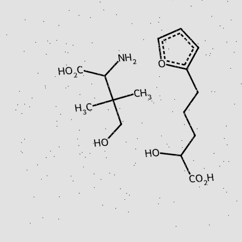 CC(C)(CO)C(N)C(=O)O.O=C(O)C(O)CCCc1ccco1